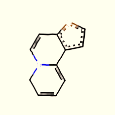 C1=CCN2C=Cc3sccc3C2=C1